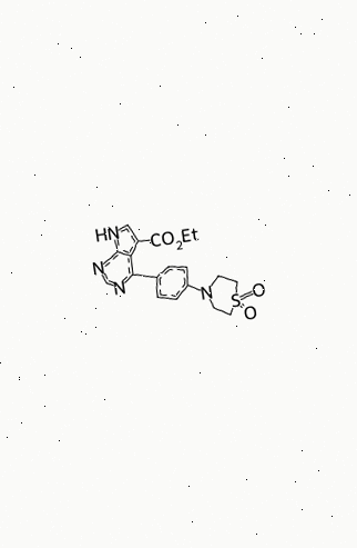 CCOC(=O)c1c[nH]c2ncnc(-c3ccc(N4CCS(=O)(=O)CC4)cc3)c12